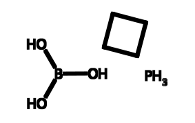 C1CCC1.OB(O)O.P